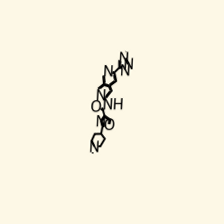 CN1CCC(c2nc(C(=O)Nc3cc4cc(-c5cn(C)nn5)ncc4cn3)co2)CC1